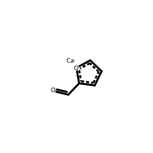 O=Cc1ccco1.[Ca]